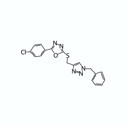 Clc1ccc(-c2nnc(SCc3cn(Cc4ccccc4)nn3)o2)cc1